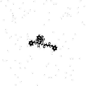 O=C(CCC(=O)OC[C@H](NC(=O)OCc1ccccc1)C(=O)O[N+]1(O)C(=O)CCC1=O)OCc1ccccc1